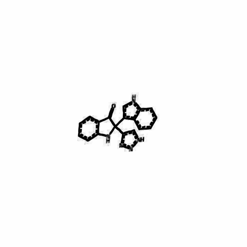 O=C1c2ccccc2NC1(c1c[nH]nn1)c1c[nH]c2ccccc12